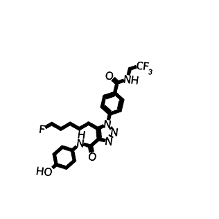 O=C(NCC(F)(F)F)c1ccc(-n2nnc(C(=O)NC3CCC(O)CC3)c2CCCCCF)cc1